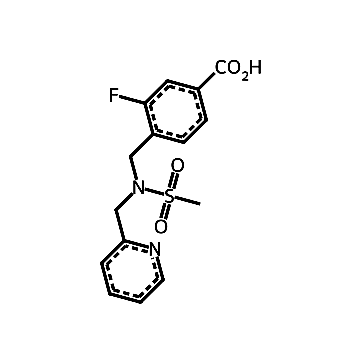 CS(=O)(=O)N(Cc1ccccn1)Cc1ccc(C(=O)O)cc1F